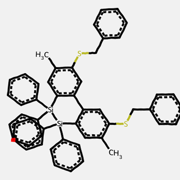 Cc1cc2c(cc1SCc1ccccc1)-c1cc(SCc3ccccc3)c(C)cc1[Si](c1ccccc1)(c1ccccc1)[Si]2(c1ccccc1)c1ccccc1